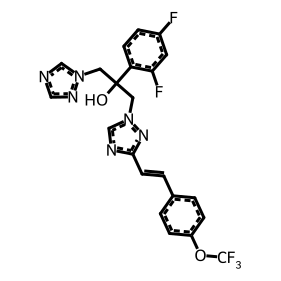 OC(Cn1cncn1)(Cn1cnc(C=Cc2ccc(OC(F)(F)F)cc2)n1)c1ccc(F)cc1F